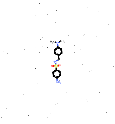 CN(C)c1ccc(CNS(=O)(=O)c2ccc(N)cc2)cc1